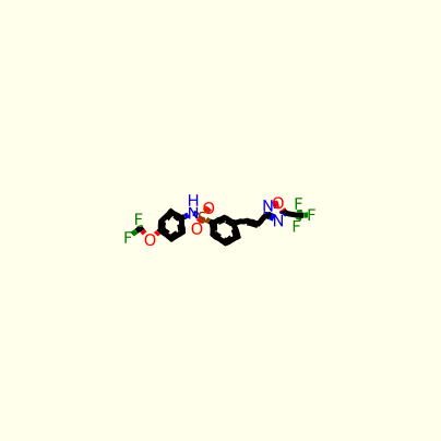 O=S(=O)(Nc1ccc(OC(F)F)cc1)c1cccc(C=Cc2noc(C(F)(F)F)n2)c1